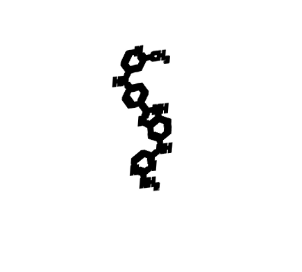 Cc1cc(Nc2ccc(-c3nc4cc(Nc5ccnc(N)n5)ccc4[nH]3)cc2)ccn1